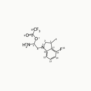 CC1CN(CC(N)OC(=O)C(F)(F)F)c2cccc(F)c21